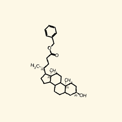 C[C@H](CCC(=O)OCc1ccccc1)C1CCC2C3CCC4C[C@H](O)CC[C@]4(C)C3CC[C@@]21C